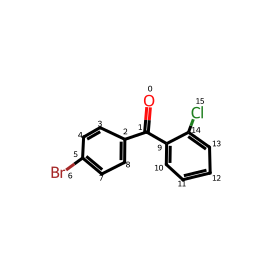 O=C(c1ccc(Br)cc1)c1ccccc1Cl